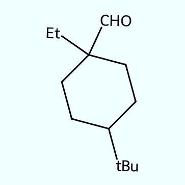 CCC1(C=O)CCC(C(C)(C)C)CC1